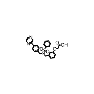 O=C(O)COc1cccc(CN(Cc2ccc(-c3cnccn3)cc2)S(=O)(=O)c2ccccc2)c1